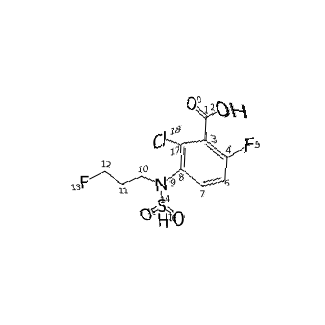 O=C(O)c1c(F)ccc(N(CCCF)[SH](=O)=O)c1Cl